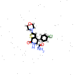 NC(=O)[C@@H]1NC(=O)c2sc(N3CCOCC3)cc2[C@H]1c1ccc(Cl)cc1